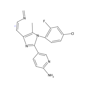 C=N/C=C\c1nc(-c2ccc(N)nc2)n(-c2ccc(Cl)cc2F)c1C